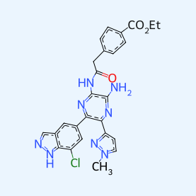 CCOC(=O)c1ccc(CC(=O)Nc2nc(-c3cc(Cl)c4[nH]ncc4c3)c(-c3ccn(C)n3)nc2N)cc1